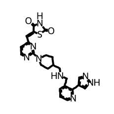 O=C1NC(=O)C(=Cc2ccnc(N3CCC(CNCc4cccnc4-c4cn[nH]c4)CC3)n2)S1